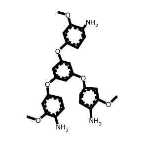 COc1cc(Oc2cc(Oc3ccc(N)c(OC)c3)cc(Oc3ccc(N)c(OC)c3)c2)ccc1N